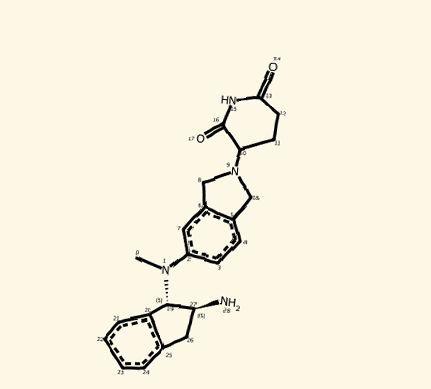 CN(c1ccc2c(c1)CN(C1CCC(=O)NC1=O)C2)[C@H]1c2ccccc2C[C@@H]1N